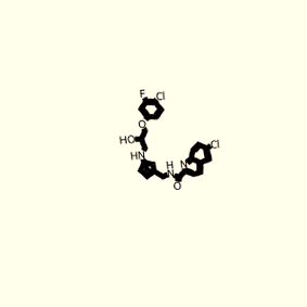 O=C(NCC12CCC(NCC(O)COc3ccc(Cl)c(F)c3)(C1)C2)c1ccc2cc(Cl)ccc2n1